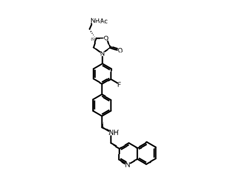 CC(=O)NC[C@H]1CN(c2ccc(-c3ccc(CNCc4cnc5ccccc5c4)cc3)c(F)c2)C(=O)O1